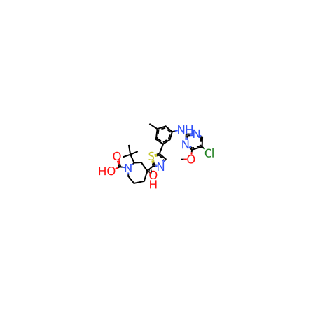 COc1nc(Nc2cc(C)cc(-c3cnc([C@@]4(O)CCCN(C(=O)O)C(C(C)(C)C)C4)s3)c2)ncc1Cl